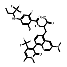 CCC(Nc1cc(F)c(C(=O)NC(Cc2ccc(-c3c(C(F)(F)F)cc(C)n(C)c3=O)c3ncc(N(C)C)cc23)C(=O)O)c(F)c1)C(F)(F)F